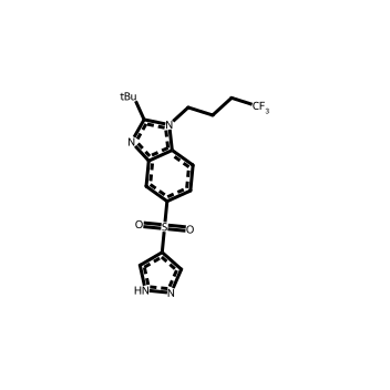 CC(C)(C)c1nc2cc(S(=O)(=O)c3cn[nH]c3)ccc2n1CCCC(F)(F)F